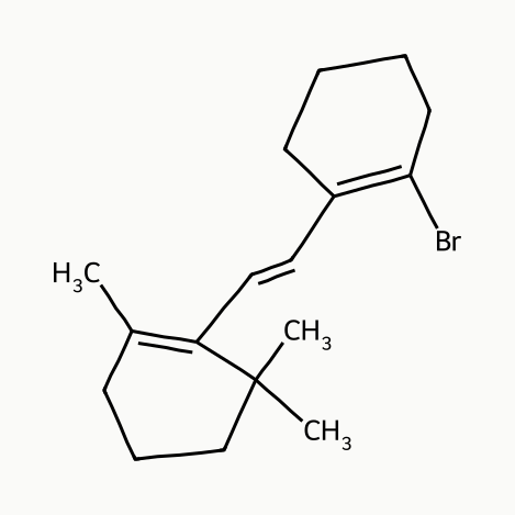 CC1=C(C=CC2=C(Br)CCCC2)C(C)(C)CCC1